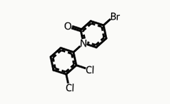 O=c1cc(Br)ccn1-c1cccc(Cl)c1Cl